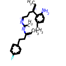 C\C=C(CCc1ccc(F)cc1)/N=C(C)/N=C\CC/C(=C\C)c1cc(C)ccc1N